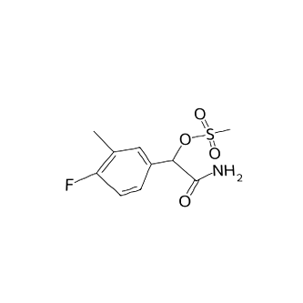 Cc1cc(C(OS(C)(=O)=O)C(N)=O)ccc1F